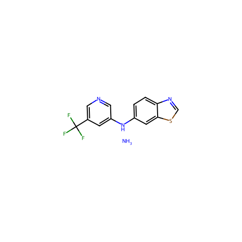 FC(F)(F)c1cncc(Nc2ccc3ncsc3c2)c1.N